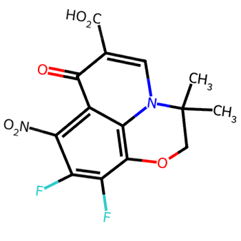 CC1(C)COc2c(F)c(F)c([N+](=O)[O-])c3c(=O)c(C(=O)O)cn1c23